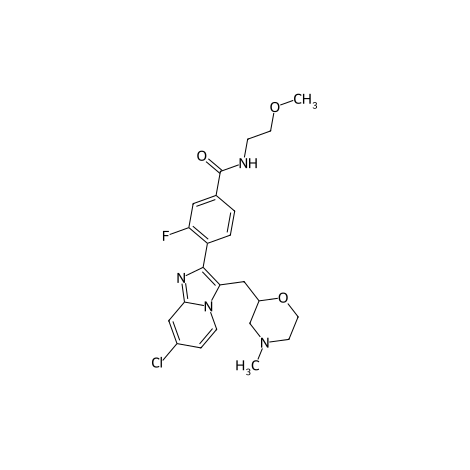 COCCNC(=O)c1ccc(-c2nc3cc(Cl)ccn3c2CC2CN(C)CCO2)c(F)c1